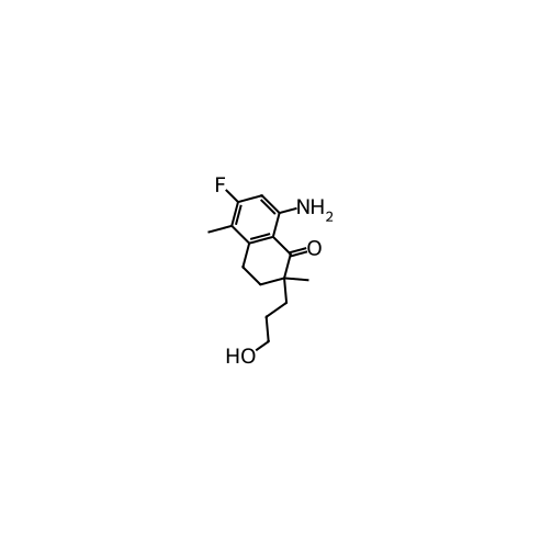 Cc1c(F)cc(N)c2c1CCC(C)(CCCO)C2=O